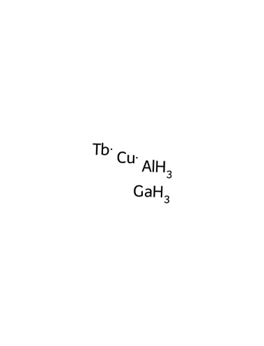 [AlH3].[Cu].[GaH3].[Tb]